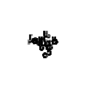 CC(C)c1c(C(=O)NCc2ccc(F)c(F)c2)c2cc(OC3CCCC3)cnc2n1Cc1ccccn1